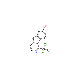 [Cl][Zr]([Cl])([Cl])[C]1=NC=CC2=Cc3cc(Br)ccc3C21